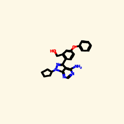 Nc1ncnc2c1c(-c1ccc(Oc3ccccc3)cc1CO)nn2C1CCCC1